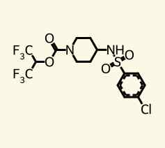 O=C(OC(C(F)(F)F)C(F)(F)F)N1CCC(NS(=O)(=O)c2ccc(Cl)cc2)CC1